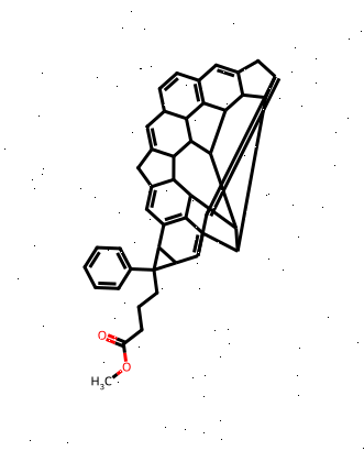 COC(=O)CCCC1(c2ccccc2)C2C3=C4C5=C(C=C6CC7=CC8C=CC9=C%10C8C8C7C6C5C5C4C4C(=C3)CC(=C9)C4C%10C85)C21